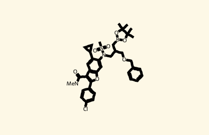 CNC(=O)c1c(-c2ccc(Cl)cc2)oc2cc(N(CC(COCc3ccccc3)CB3OC(C)(C)C(C)(C)O3)S(C)(=O)=O)c(C3CC3)cc12